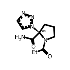 CCC(=O)N1CCC[C@]1(C(N)=O)n1ccnn1